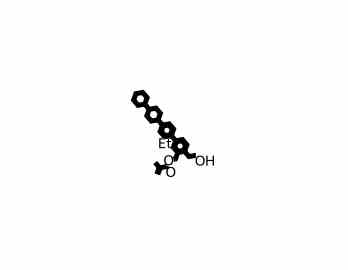 C=C(C)C(=O)OCc1cc(-c2ccc(C3CCC(C4CCCCC4)CC3)cc2CC)ccc1CCO